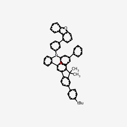 CC(C)(C)c1ccc(-c2ccc3c(c2)C(C)(C)c2ccc(-c4ccccc4N(c4cccc(-c5ccccc5)c4)c4cccc(-c5cccc6oc7ccccc7c56)c4)cc2-3)cc1